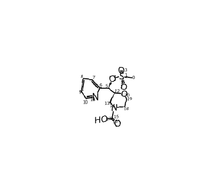 CS(=O)(=O)O[C@H](c1ccccn1)[C@@H]1CN(C(=O)O)CCO1